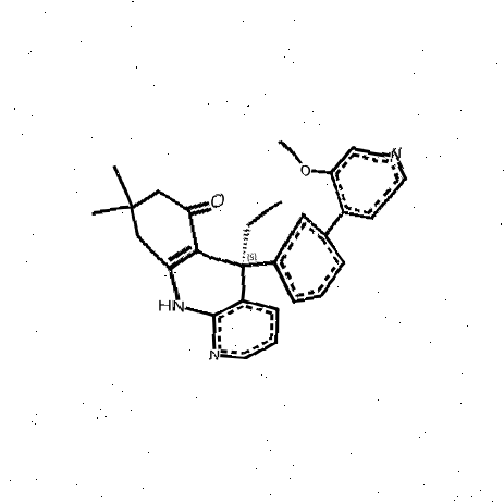 CC[C@@]1(c2cccc(-c3ccncc3OC)c2)C2=C(CC(C)(C)CC2=O)Nc2ncccc21